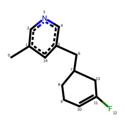 Cc1cncc(CC2CCC=C(F)C2)c1